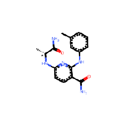 Cc1cccc(Nc2nc(N[C@H](C)C(N)=O)ccc2C(N)=O)c1